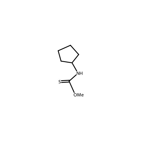 [CH2]OC(=S)NC1CCCC1